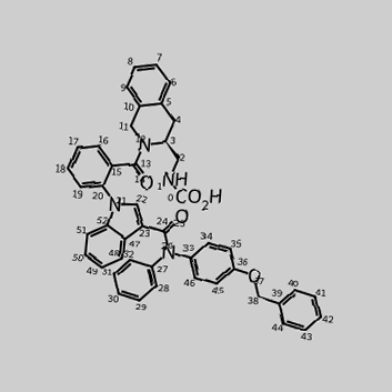 O=C(O)NC[C@@H]1Cc2ccccc2CN1C(=O)c1ccccc1-n1cc(C(=O)N(c2ccccc2)c2ccc(OCc3ccccc3)cc2)c2ccccc21